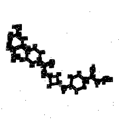 CC(C)(C)OC(=O)N1CCC(O[C@H]2C[C@H](OC(=O)N3CCN(c4cc(Cl)nnc4N)CC3)C2)CC1